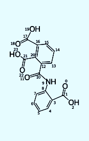 O=C(O)c1ccccc1NC(=O)c1cccc(C(=O)O)c1C(=O)O